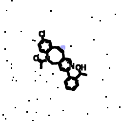 CC(=O)N1Cc2cc(-c3ccccc3C(C)O)ncc2/C=C\c2cc(Cl)ccc21